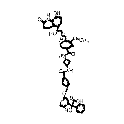 COc1cc(C(=O)NC2CC(NC(=O)c3ccc(COc4cccc(C(O)(C(=O)O)c5ccccc5)c4)cc3)C2)ccc1CNCC(O)c1ccc(O)c2[nH]c(=O)ccc12